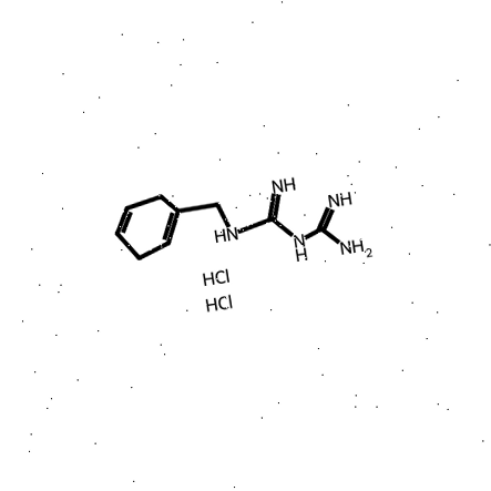 Cl.Cl.N=C(N)NC(=N)NCC1=CCC=CC1